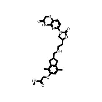 CNC(=O)COc1cc(C)c2c(c1C)CC(CNCCC1CN(c3ccc4c(n3)NC(=O)CS4)C(=O)O1)C2